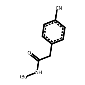 CC(C)(C)NC(=O)Cc1ccc(C#N)cc1